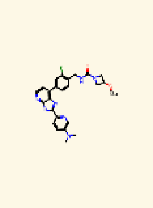 CN(C)c1ccc(-c2nc3c(-c4ccc(CNC(=O)N5CC(OC(C)(C)C)C5)c(F)c4)ccnc3[nH]2)nc1